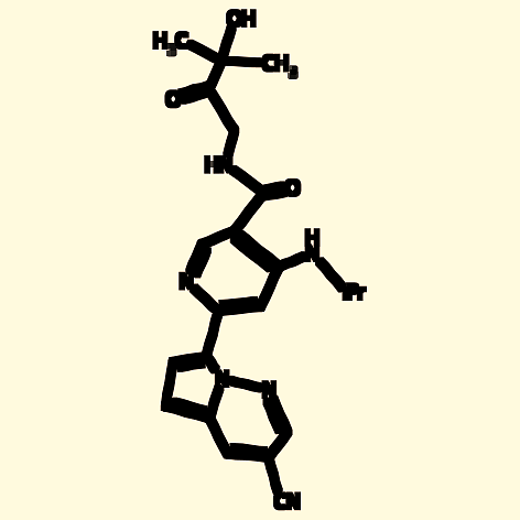 CC(C)Nc1cc(-c2ccc3cc(C#N)cnn23)ncc1C(=O)NCC(=O)C(C)(C)O